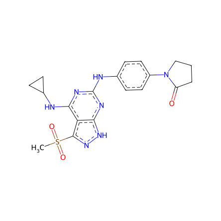 CS(=O)(=O)c1n[nH]c2nc(Nc3ccc(N4CCCC4=O)cc3)nc(NC3CC3)c12